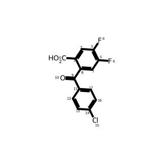 O=C(O)c1cc(F)c(F)cc1C(=O)c1ccc(Cl)cc1